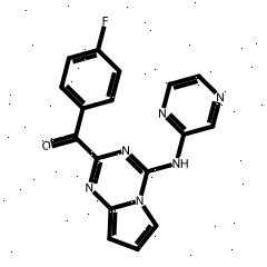 O=C(c1ccc(F)cc1)c1nc(Nc2cnccn2)n2cccc2n1